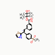 CC(C)(O)C(C)(C)OB(O)c1cccc(/C=C(\c2ccc(S(C)(=O)=O)cc2)c2nccs2)c1